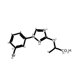 CC(Oc1ncn(-c2cccc(Br)c2)n1)C(=O)O